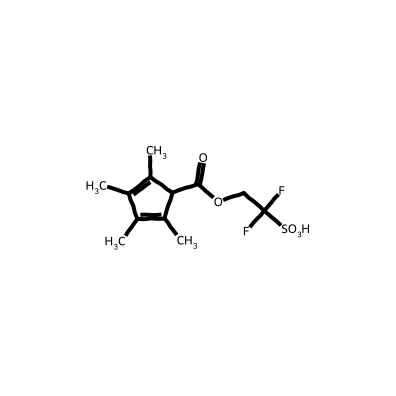 CC1=C(C)C(C(=O)OCC(F)(F)S(=O)(=O)O)C(C)=C1C